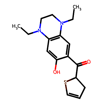 CCN1CCN(CC)c2cc(C(=O)C3CC=CS3)c(O)cc21